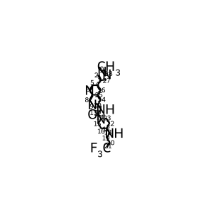 Cn1cc(-c2cnc3cnc(NC(=O)N4CCC(NCCC(F)(F)F)CC4)cc3c2)cn1